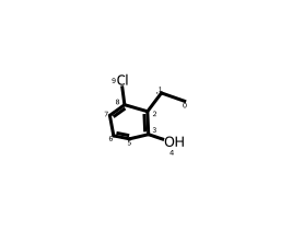 C[CH]c1c(O)cccc1Cl